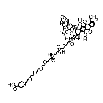 COc1cccc2c1C(=O)c1c(O)c3c(c(O)c1C2=O)C[C@@](O)(C(=O)NNC(=O)CCSCC(=O)NCCNC(=O)CCOCCOCCOCCOCCN1CCC(C(=O)O)CC1)C[C@@H]3O[C@H]1C[C@H]2[C@H](O[C@@H]3COCCN32)[C@H](C)O1